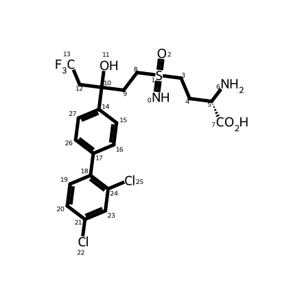 N=S(=O)(CC[C@H](N)C(=O)O)CCC(O)(CC(F)(F)F)c1ccc(-c2ccc(Cl)cc2Cl)cc1